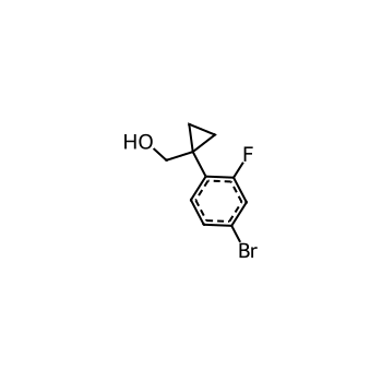 OCC1(c2ccc(Br)cc2F)CC1